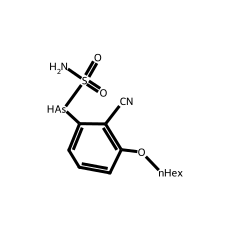 CCCCCCOc1cccc([AsH]S(N)(=O)=O)c1C#N